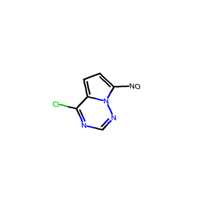 O=Nc1ccc2c(Cl)ncnn12